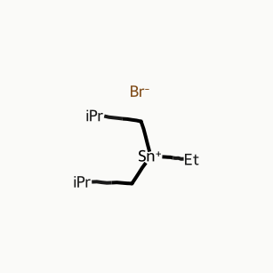 C[CH2][Sn+]([CH2]C(C)C)[CH2]C(C)C.[Br-]